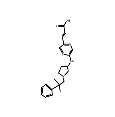 CC(C)(CN1CC[C@@H](Nc2cnc(C=CC(=O)O)cn2)C1)c1ccccc1